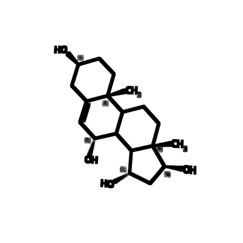 C[C@]12CC[C@H](O)CC1=C[C@@H](O)C1C2CC[C@@]2(C)C1[C@@H](O)C[C@@H]2O